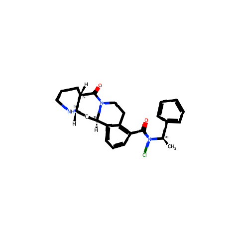 C[C@H](c1ccccc1)N(Cl)C(=O)c1cccc2c1CCN1C(=O)[C@H]3CCCN[C@H]3C[C@H]21